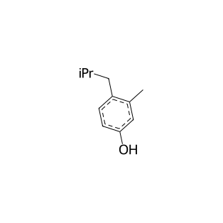 Cc1cc(O)ccc1CC(C)C